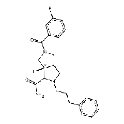 NC(=O)C1[C@@H]2CN(C(=O)c3cccc(F)c3)CC2CN1CC[CH]c1ccccc1